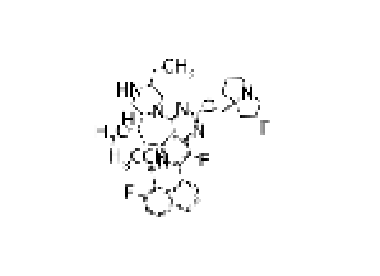 C#Cc1c(F)ccc2cccc(-c3nc4c5c(nc(OC[C@@]67CCCN6C[C@H](F)C7)nc5c3F)N3CC(CC)NC[C@@H]3[C@@H](C)[C@H]4C)c12